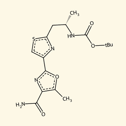 Cc1oc(-c2csc(C[C@H](C)NC(=O)OC(C)(C)C)n2)nc1C(N)=O